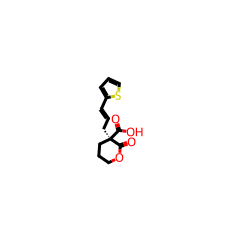 O=C(O)[C@]1(C/C=C/c2cccs2)CCCOC1=O